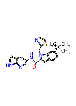 C[Si](C)(C)c1ccc2cc(C(=O)Nc3cnc4[nH]ccc4c3)n(Cc3nccs3)c2c1